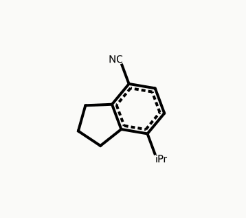 CC(C)c1ccc(C#N)c2c1CCC2